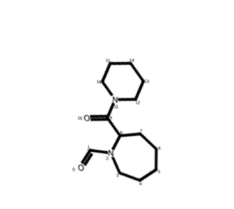 O=[C]N1CCCCCC1C(=O)N1CCCCC1